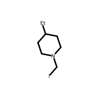 CCC1CCN(CI)CC1